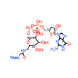 [N-]=[N+]=NCC(=O)NCC1O[C@H](OP(=O)(O)OP(=O)(O)OC[C@@H]2C[C@H](O)[C@H](n3cnc4c(=O)[nH]c(N)nc43)O2)C(O)C(O)[C@@H]1O